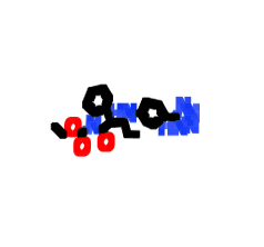 CCOC(=O)N1C(=O)C(=C(CC)Nc2ccc(-c3nnn[nH]3)cc2)c2ccccc21